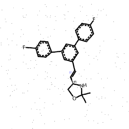 CC1(C)N[C@H](/C=C/c2cc(-c3ccc(F)cc3)cc(-c3ccc(F)cc3)c2)CO1